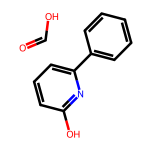 O=CO.Oc1cccc(-c2ccccc2)n1